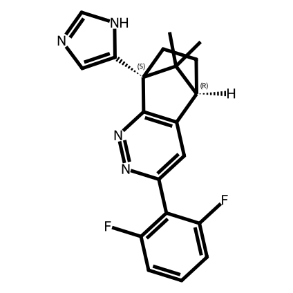 CC1(C)[C@H]2CC[C@]1(c1cnc[nH]1)c1nnc(-c3c(F)cccc3F)cc12